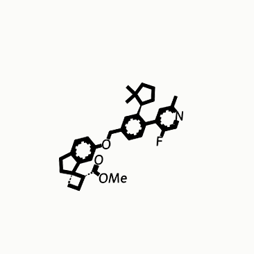 COC(=O)[C@@H]1CC[C@@]12CCc1ccc(OCc3ccc(-c4cc(C)ncc4F)c([C@@H]4CCCC4(C)C)c3)cc12